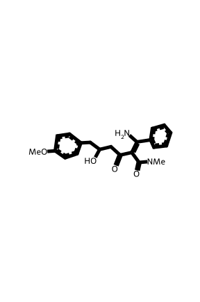 CNC(=O)C(C(=O)CC(O)Cc1ccc(OC)cc1)=C(N)c1ccccc1